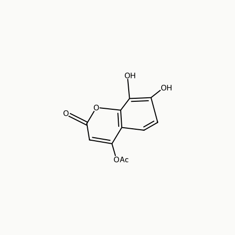 CC(=O)Oc1cc(=O)oc2c(O)c(O)ccc12